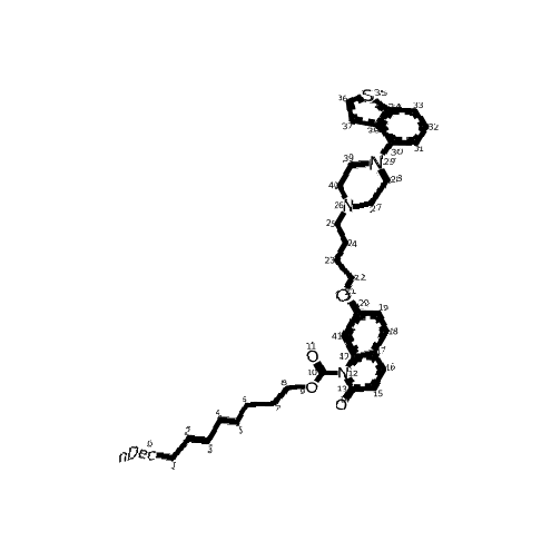 CCCCCCCCCCCCCCCCCCOC(=O)n1c(=O)ccc2ccc(OCCCCN3CCN(c4cccc5sccc45)CC3)cc21